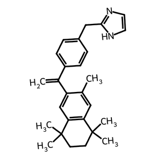 C=C(c1ccc(Cc2ncc[nH]2)cc1)c1cc2c(cc1C)C(C)(C)CCC2(C)C